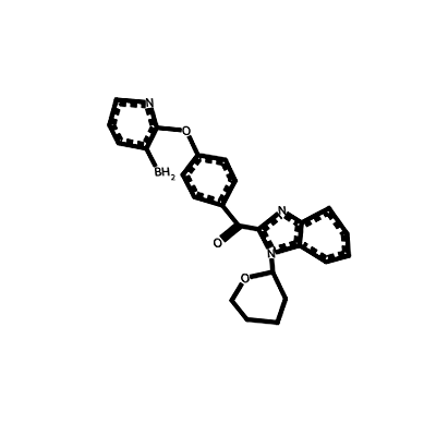 Bc1cccnc1Oc1ccc(C(=O)c2nc3ccccc3n2C2CCCCO2)cc1